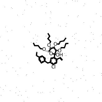 C=Cc1cc(Cl)c(Cc2ccc(CC)cc2)cc1C1(O)O[C@H](COCCCC)[C@@H](OCCCC)[C@H](OCCCC)[C@H]1OCCCC